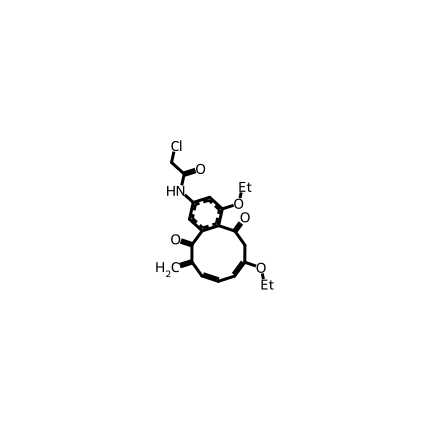 C=C1/C=C\C=C(\OCC)CC(=O)c2c(OCC)cc(NC(=O)CCl)cc2C1=O